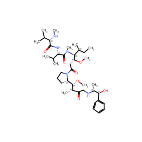 CC[C@H](C)[C@@H]([C@@H](CC(=O)N1CCC[C@H]1[C@H](OC)[C@@H](C)C(=O)CN[C@H](C)[C@@H](O)c1ccccc1)OC)N(C)C(=O)[C@@H](NC(=O)[C@@H](NC)C(C)C)C(C)C